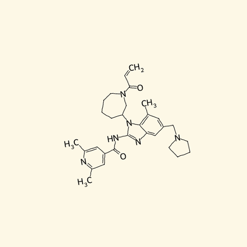 C=CC(=O)N1CCCCC(n2c(NC(=O)c3cc(C)nc(C)c3)nc3cc(CN4CCCC4)cc(C)c32)C1